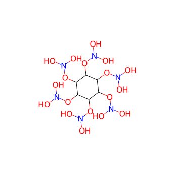 ON(O)OC1C(ON(O)O)C(ON(O)O)C(ON(O)O)C(ON(O)O)C1ON(O)O